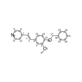 COc1cc(/C=C/c2ccncc2)ccc1OCc1ccccc1